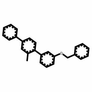 Cc1cc(-c2ccccc2)ccc1-c1cccc(OCc2ccccc2)c1